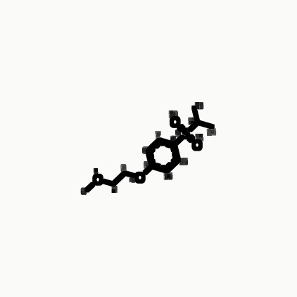 COCCOc1ccc(S(=O)(=O)C(C)C)cc1